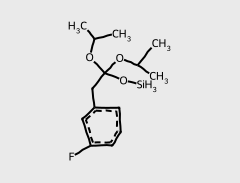 CC(C)OC(Cc1cccc(F)c1)(O[SiH3])OC(C)C